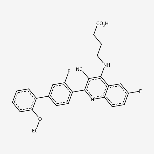 CCOc1ccccc1-c1ccc(-c2nc3ccc(F)cc3c(NCCCC(=O)O)c2C#N)c(F)c1